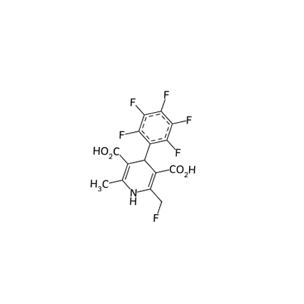 CC1=C(C(=O)O)C(c2c(F)c(F)c(F)c(F)c2F)C(C(=O)O)=C(CF)N1